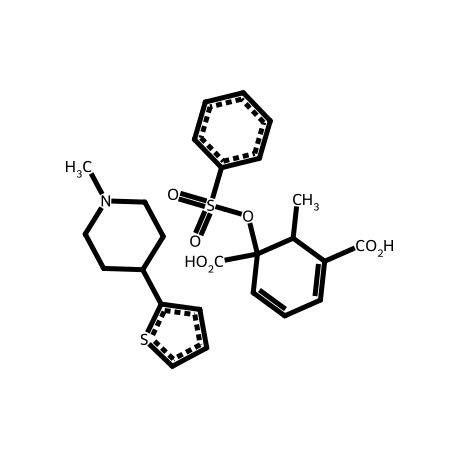 CC1C(C(=O)O)=CC=CC1(OS(=O)(=O)c1ccccc1)C(=O)O.CN1CCC(c2cccs2)CC1